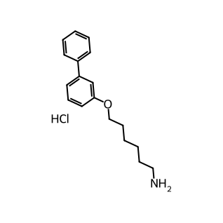 Cl.NCCCCCCOc1cccc(-c2ccccc2)c1